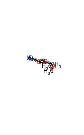 CCOC(=O)C(C)(C)CCCCOc1ccc(OCCCCCn2ccnc2)cc1